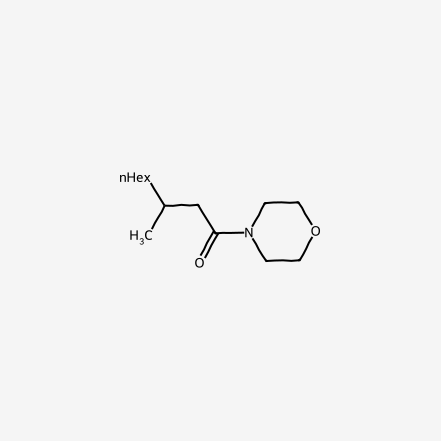 CCCCCCC(C)CC(=O)N1CCOCC1